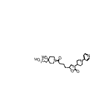 O=C(O)CC1(O)CCN(C(=O)CCCC2CN(C3CCN(c4ccncc4)CC3)C(=O)O2)CC1